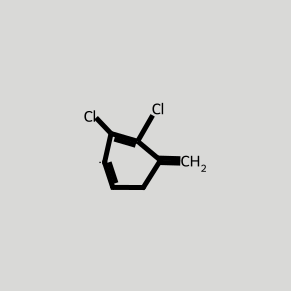 C=C1CC=[C]C(Cl)=C1Cl